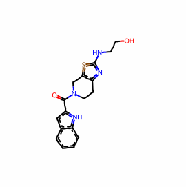 O=C(c1cc2ccccc2[nH]1)N1CCc2nc(NCCO)sc2C1